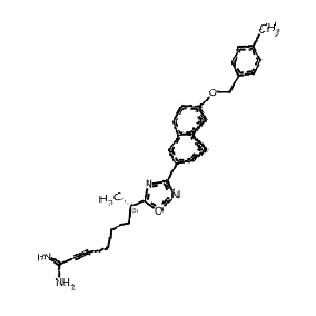 Cc1ccc(COc2ccc3cc(-c4noc([C@@H](C)CCCC#CC(=N)N)n4)ccc3c2)cc1